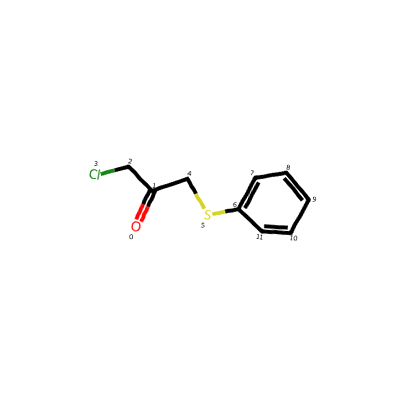 O=C(CCl)CSc1ccccc1